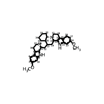 COc1ccc2c3c([nH]c2c1)C(CC(CC1=NCCc2c1[nH]c1cc(OC)ccc21)C1CCCCC1)=NCC3